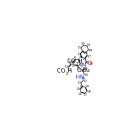 CC(C)COc1ccccc1N(CCCNCCc1ccccc1)C(=O)c1ccc2c(c1)CCCC2.O=C(O)/C=C/C(=O)O